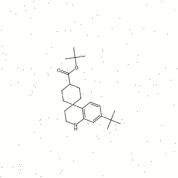 CC(C)(C)OC(=O)C1CCC2(CCNc3cc(C(C)(C)C)ccc32)CC1